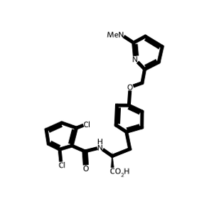 CNc1cccc(COc2ccc(C[C@H](NC(=O)c3c(Cl)cccc3Cl)C(=O)O)cc2)n1